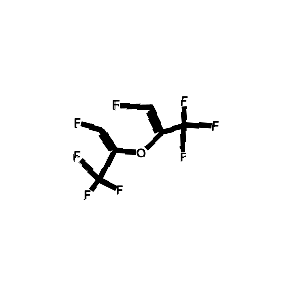 FC=C(OC(=CF)C(F)(F)F)C(F)(F)F